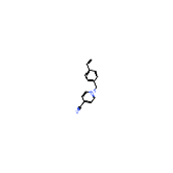 C=Cc1ccc(C[n+]2ccc(C#N)cc2)cc1